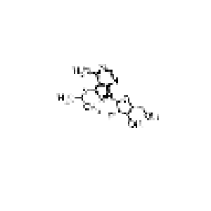 CC(C)Sc1nn([C@@H]2O[C@H](CO)[C@@H](O)[C@@H]2F)c2ncnc(N)c12